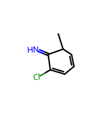 CC1C=CC=C(Cl)C1=N